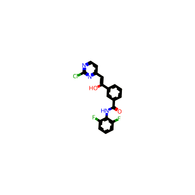 O=C(Nc1c(F)cccc1F)c1cccc(C(O)=Cc2ccnc(Cl)n2)c1